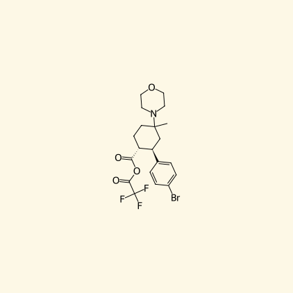 CC1(N2CCOCC2)CC[C@@H](C(=O)OC(=O)C(F)(F)F)[C@H](c2ccc(Br)cc2)C1